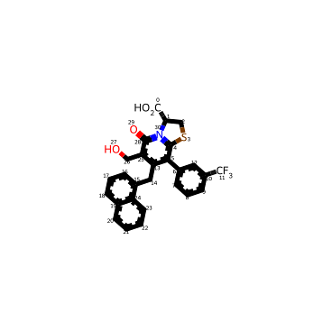 O=C(O)C1CSc2c(-c3cccc(C(F)(F)F)c3)c(Cc3cccc4ccccc34)c(CO)c(=O)n21